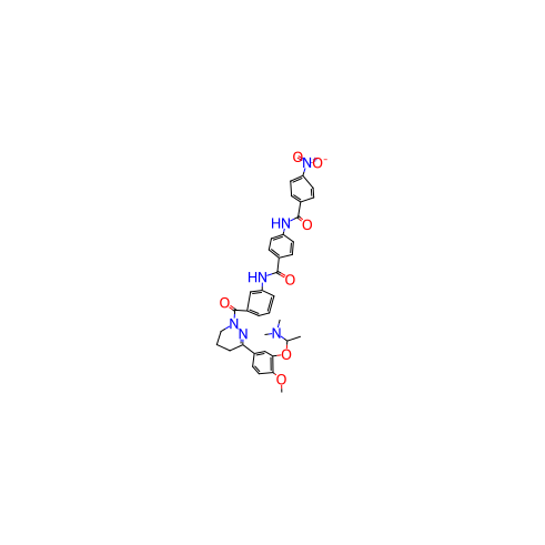 COc1ccc(C2=NN(C(=O)c3cccc(NC(=O)c4ccc(NC(=O)c5ccc([N+](=O)[O-])cc5)cc4)c3)CCC2)cc1OC(C)N(C)C